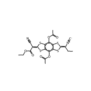 [C-]#[N+]C(CC)=C1Sc2c(OC(C)=O)c3c(c(OC(C)=O)c2S1)SC(=C(C#N)C(=O)OCC)S3